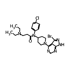 CCN(CC)CCC(=O)N(c1ccc(Cl)cc1)C1CCN(c2ncnc3[nH]nc(Br)c23)CC1